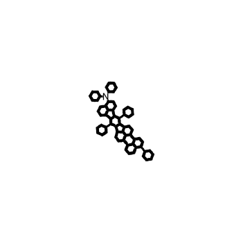 c1ccc(-c2ccc3c4ccc5c6c(-c7ccccc7)c7c8ccc(N(c9ccccc9)c9ccccc9)c9cccc(c7c(-c7ccccc7)c6c6ccc(c7cccc2c73)c4c65)c98)cc1